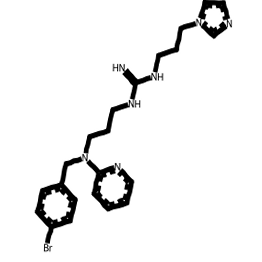 N=C(NCCCN(Cc1ccc(Br)cc1)c1ccccn1)NCCCn1ccnc1